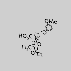 CCC(=O)O[C@H](C)OC(=O)N1C[C@@H](COc2cccc(OC)c2)C[C@H]1C(=O)O